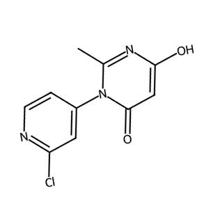 Cc1nc(O)cc(=O)n1-c1ccnc(Cl)c1